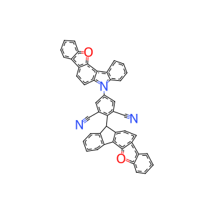 N#Cc1cc(-n2c3ccccc3c3c4oc5ccccc5c4ccc32)cc(C#N)c1C1c2ccccc2-c2c1ccc1c2oc2ccccc21